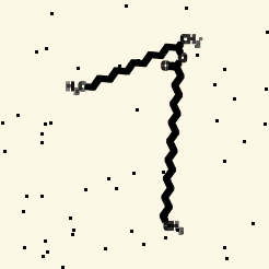 [CH2]C(CCCCCCCCCCC)OC(=O)CCCCCCCCCCCCCCCCC